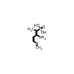 C=N/C=C\C(N)=C(/C)P(=O)(O)O